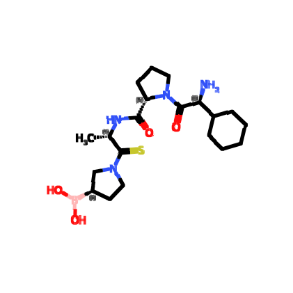 C[C@H](NC(=O)[C@@H]1CCCN1C(=O)[C@@H](N)C1CCCCC1)C(=S)N1CC[C@@H](B(O)O)C1